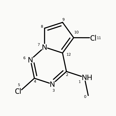 CNc1nc(Cl)nn2ccc(Cl)c12